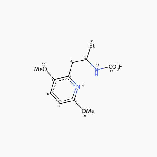 CCC(Cc1nc(OC)ccc1OC)NC(=O)O